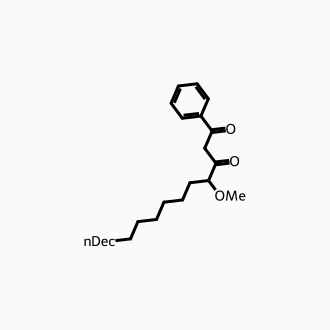 CCCCCCCCCCCCCCCCC(OC)C(=O)CC(=O)c1ccccc1